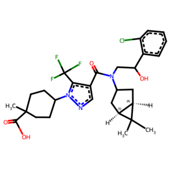 CC1(C(=O)O)CCC(n2ncc(C(=O)N(CC(O)c3ccccc3Cl)C3C[C@@H]4[C@H](C3)C4(C)C)c2C(F)(F)F)CC1